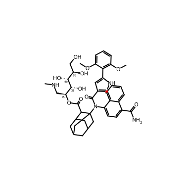 CNC[C@H](OC(=O)C1C2CC3CC(C2)CC1(N(C(=O)c1cc(-c2c(OC)cccc2OC)[nH]n1)c1ccc(C(N)=O)c2ccccc12)C3)[C@@H](O)[C@H](O)[C@H](O)CO